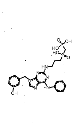 O=P(O)(O)CP(=O)(O)CCCNc1nc(Nc2ccccc2)c2ncn(Cc3cccc(O)c3)c2n1